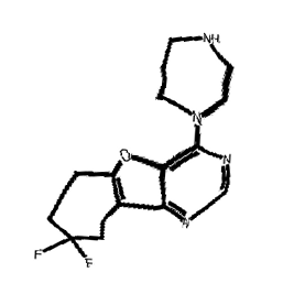 FC1(F)CCc2oc3c(N4CCCNCC4)ncnc3c2C1